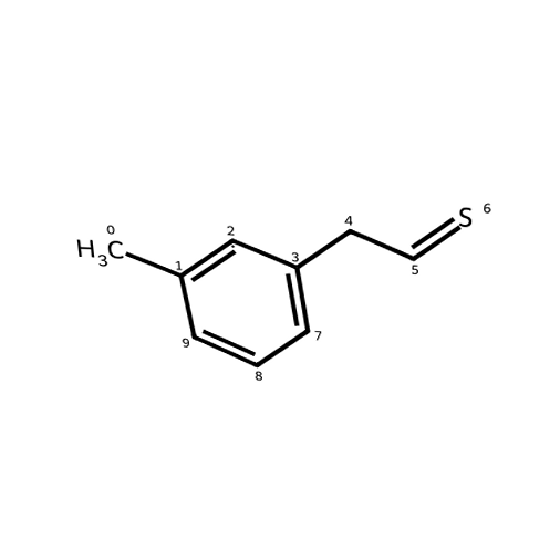 Cc1[c]c(CC=S)ccc1